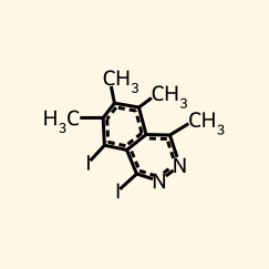 Cc1c(C)c(I)c2c(I)nnc(C)c2c1C